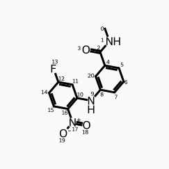 CNC(=O)c1cccc(Nc2cc(F)ccc2[N+](=O)[O-])c1